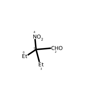 CCC(C=O)(CC)[N+](=O)[O-]